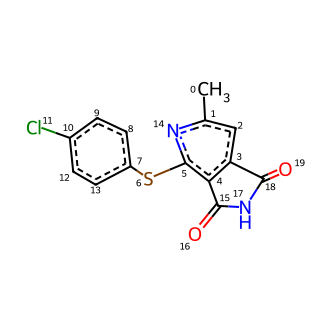 Cc1cc2c(c(Sc3ccc(Cl)cc3)n1)C(=O)NC2=O